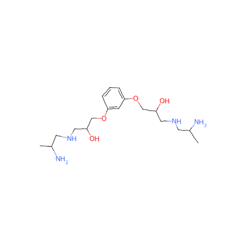 CC(N)CNCC(O)COc1cccc(OCC(O)CNCC(C)N)c1